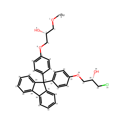 CCCCOC[C@@H](O)COc1ccc(C2(c3ccc(OC[C@H](O)CCl)cc3)c3ccccc3-c3ccccc32)cc1